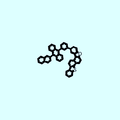 C1=c2oc3ccc4c(ccc5c6ccccc6sc54)c3c2=CC(c2cccc(-c3c4ccccc4c(-c4ccc5ccccc5c4)c4ccccc34)c2)C1